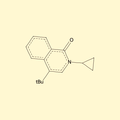 CC(C)(C)c1cn(C2CC2)c(=O)c2ccccc12